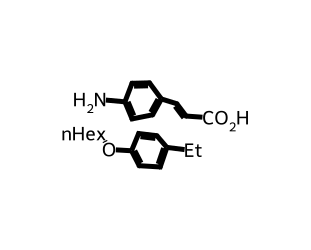 CCCCCCOc1ccc(CC)cc1.Nc1ccc(C=CC(=O)O)cc1